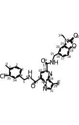 Cc1ccc(CNC(=O)c2cc(C(=O)NCc3ccc4oc(=O)n(C)c4c3)nc3c(F)cnn23)cc1Cl